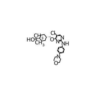 CC(C)(O)[C@H]1CC[C@H](COc2nc(Nc3ccc(N4CCOCC4)cc3)ncc2Cl)CC1